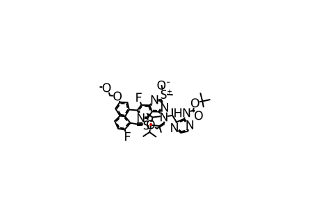 COCOc1cc(-c2nc3c4c(nc([S+](C)[O-])nc4c2F)N(C(C)c2nccnc2NC(=O)OC(C)(C)C)CCO3)c2c(C#C[Si](C(C)C)(C(C)C)C(C)C)c(F)ccc2c1